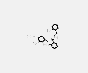 COc1ccc(CNc2ccccc2C(=O)NOCc2ccccc2Br)cc1C#N